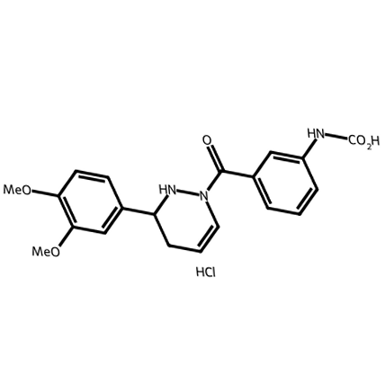 COc1ccc(C2CC=CN(C(=O)c3cccc(NC(=O)O)c3)N2)cc1OC.Cl